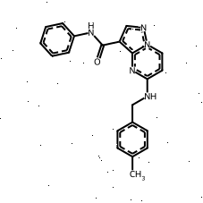 Cc1ccc(CNc2ccn3ncc(C(=O)Nc4ccccc4)c3n2)cc1